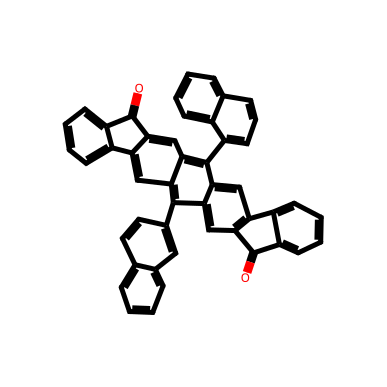 O=c1c2ccccc2c2cc3c(-c4ccc5ccccc5c4)c4cc5c(=O)c6ccccc6c5cc4c(-c4cccc5ccccc45)c3cc12